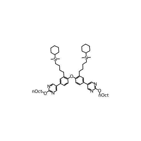 CCCCCCCCOc1ncc(-c2ccc(Oc3ccc(-c4cnc(OCCCCCCCC)nc4)cc3CCCC[Si](C)(C)C3CCCCC3)c(CCCC[Si](C)(C)C3CCCCC3)c2)cn1